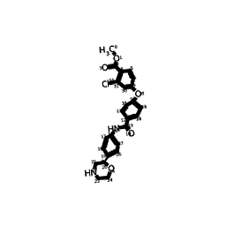 COC(=O)c1ccc(Oc2ccc(C(=O)Nc3ccc([C@@H]4CNCCO4)cc3)cc2)cc1Cl